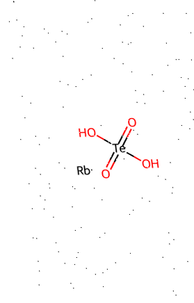 O=[Te](=O)(O)O.[Rb]